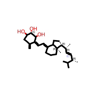 C=C1CC(O)[C@H](O)C(O)C1=CC=C1CCC[C@@]2(C)C1CC[C@@H]2[C@H](C)/C=C/[C@H](C)C(C)C